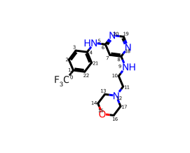 FC(F)(F)c1ccc(Nc2cc(NCCN3CCOCC3)ncn2)cc1